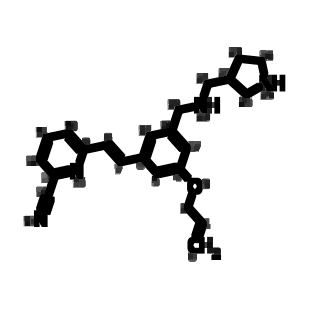 C=CCOc1cc(/C=C/c2cccc(C#N)n2)cc(CNCC2CCNC2)c1